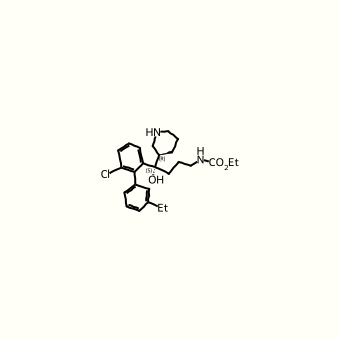 CCOC(=O)NCCC[C@@](O)(c1cccc(Cl)c1-c1cccc(CC)c1)[C@@H]1CCCNC1